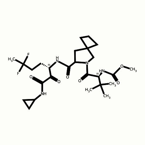 COC(=O)N[C@H](C(=O)N1CC2(CCC2)CC1C(=O)N[C@@H](CCC(C)(F)F)C(=O)C(=O)NC1CC1)C(C)(C)C